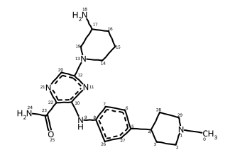 CN1CCC(c2ccc(Nc3nc(N4CCCC(N)C4)cnc3C(N)=O)cc2)CC1